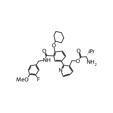 COc1ccc(CNC(=O)c2cc(-c3ncccc3COC(=O)[C@@H](N)C(C)C)ccc2OC2CCCCC2)cc1F